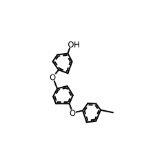 Cc1ccc(Oc2ccc(Oc3ccc(O)cc3)cc2)cc1